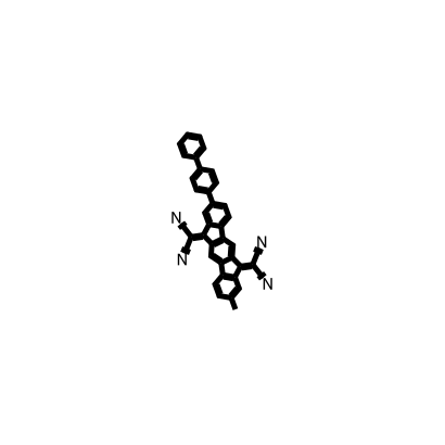 Cc1ccc2c(c1)C(=C(C#N)C#N)c1cc3c(cc1-2)C(=C(C#N)C#N)c1cc(-c2ccc(-c4ccccc4)cc2)ccc1-3